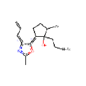 C=C/C=c1/nc(C)o/c1=C1/CCC(C(C)C)C1(O)CCNC(C)=O